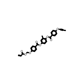 C=CC(=O)OCOc1ccc(C(=O)Oc2ccc(OC(=O)c3ccc(OC#CC)cc3)c(C)c2)cc1